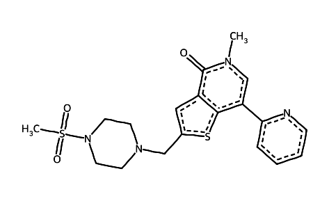 Cn1cc(-c2ccccn2)c2sc(CN3CCN(S(C)(=O)=O)CC3)cc2c1=O